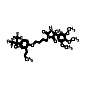 CCCc1cc(C(O)(C(F)(F)F)C(F)(F)F)ccc1OCCCCN1C(=O)NC(C)(c2cc(OC)c(OC)c(OC)c2)C1=O